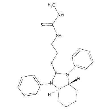 CNC(=S)NCCSP1N(c2ccccc2)[C@@H]2CCCC[C@H]2N1c1ccccc1